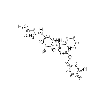 CN(C)CCNC(=O)CC(NC(=O)C1CCCCN1C(=O)OCc1ccc(Cl)c(Cl)c1)C(=O)CF